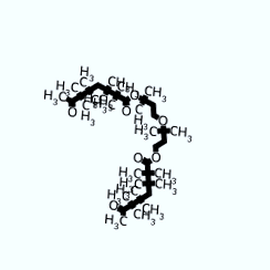 CC(=O)C(C)(C)C(C)(C)CC(C)(C)C(C)(C)C(=O)OCCC(C)(C)OCCC(C)(C)OC(=O)C(C)(C)C(C)(C)CC(C)(C)C(C)(C)C(C)=O